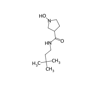 CC(C)(C)CCNC(=O)C1CCN(O)C1